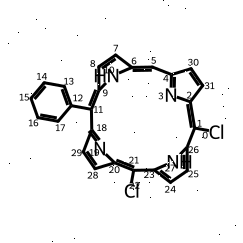 Clc1c2nc(cc3ccc([nH]3)c(-c3ccccc3)c3nc(c(Cl)c4ccc1[nH]4)C=C3)C=C2